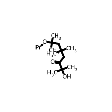 CC(C)OC(C)(C)CC(C)(C)CC(=O)C(C)(C)O